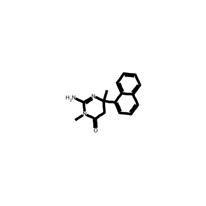 CN1C(=O)CC(C)(c2cccc3ccccc23)N=C1N